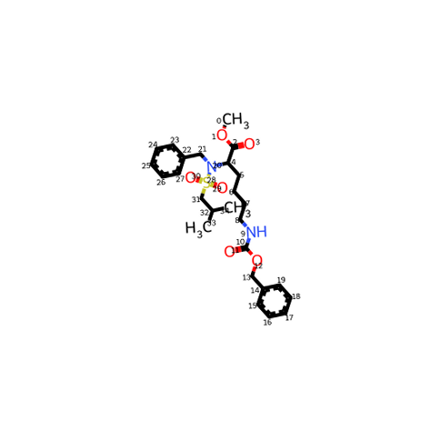 COC(=O)C(CCCCNC(=O)OCc1ccccc1)N(Cc1ccccc1)S(=O)(=O)CC(C)C